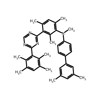 Cc1cc(C)cc(-c2ccc(N(C)c3c(C)cc(C)c(-c4ncnc(-c5c(C)c(C)cc(C)c5C)n4)c3C)cc2)c1